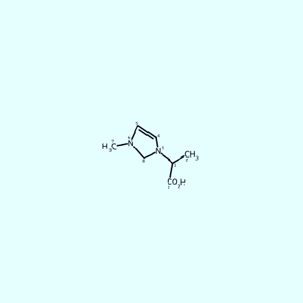 CC(C(=O)O)N1C=CN(C)C1